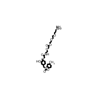 Cc1ccc2oc(=O)n(Cc3ccc(OCC(=O)NCCOCC(=O)OCCOCCOCCCNN)c(O)c3)c2c1